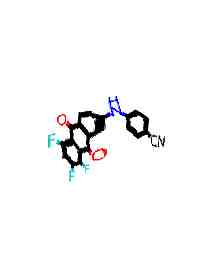 N#Cc1ccc(Nc2ccc3c(c2)C(=O)c2c(F)c(F)cc(F)c2C3=O)cc1